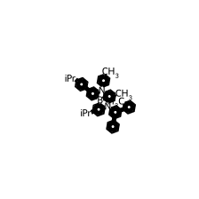 Cc1ccc(N2c3cc(-c4ccc(C(C)C)cc4)ccc3B3c4cc(C(C)C)ccc4N(c4cc(-c5ccccc5)cc(-c5ccccc5C)c4)c4cc(C)cc2c43)cc1